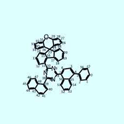 c1ccc(-c2ccc(-c3nc(-c4cccc5c4-c4ccccc4C54c5ccccc5Oc5ccccc54)nc(-c4cccc5ccccc45)n3)c3ccccc23)cc1